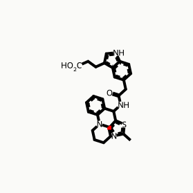 Cc1ncc(C(NC(=O)Cc2ccc3[nH]cc(CCC(=O)O)c3c2)c2ccccc2N2CCCCC2)s1